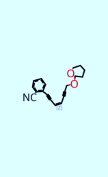 N#Cc1ccccc1C#C/C=C\C#CCOC1CCCCO1